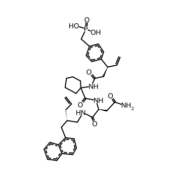 C=CC[C@H](CNC(=O)[C@H](CC(N)=O)NC(=O)C1(NC(=O)C[C@H](C=C)c2ccc(CP(=O)(O)O)cc2)CCCCC1)Cc1cccc2ccccc12